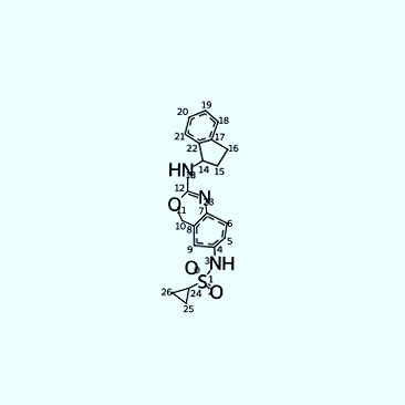 O=S(=O)(Nc1ccc2c(c1)COC(NC1CCc3ccccc31)=N2)C1CC1